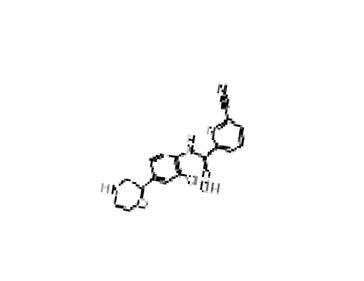 Cl.N#Cc1cccc(C(=O)Nc2ccc([C@@H]3CNCCO3)cc2Cl)n1